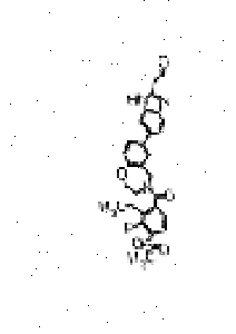 CCc1c(C(=O)N2CCOc3ccc(-c4ccc5nc(CC=O)[nH]c5c4)cc3C2)ccc(S(C)(=O)=O)c1F